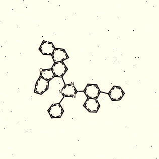 c1ccc(-c2nc(-c3ccc(-c4ccccc4)c4ccccc34)nc(-c3cc4ccc5ccccc5c4c4oc5ccccc5c34)n2)cc1